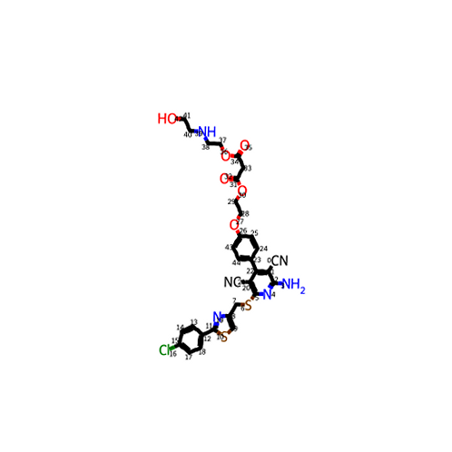 N#Cc1c(N)nc(SCc2csc(-c3ccc(Cl)cc3)n2)c(C#N)c1-c1ccc(OCCOC(=O)CC(=O)OCCNCCO)cc1